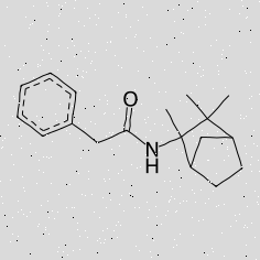 CC1(C)C2CCC(C2)C1(C)NC(=O)Cc1ccccc1